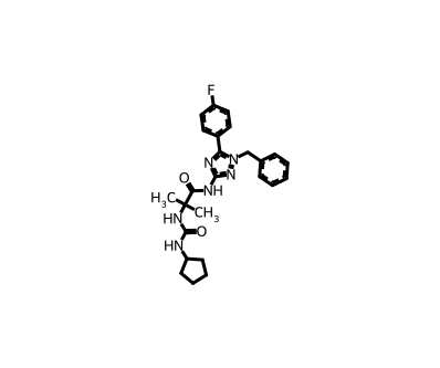 CC(C)(NC(=O)NC1CCCC1)C(=O)Nc1nc(-c2ccc(F)cc2)n(Cc2ccccc2)n1